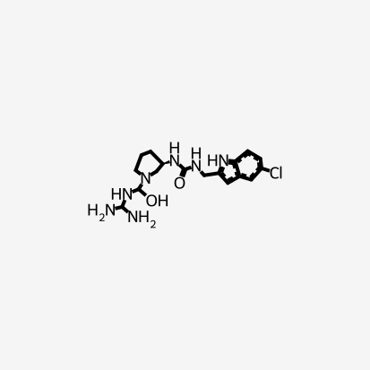 NC(N)NC(O)N1CCC[C@@H](NC(=O)NCc2cc3cc(Cl)ccc3[nH]2)C1